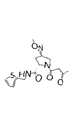 CO/N=C1\C[C@@H](C(=O)NCc2cccs2)N(C(=O)CC(C)=O)C1